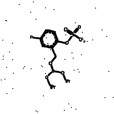 CC(C)OB(OCc1cc(F)ccc1OS(=O)(=O)C(F)(F)F)OC(C)C